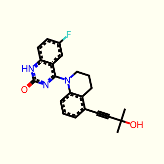 CC(C)(O)C#Cc1cccc2c1CCCN2c1nc(=O)[nH]c2ccc(F)cc12